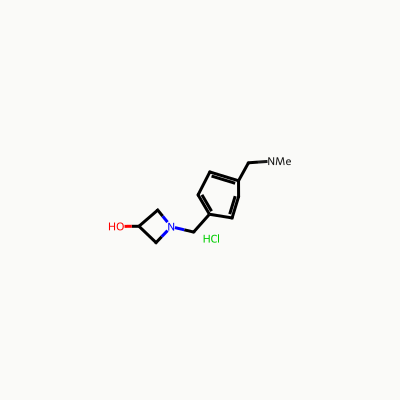 CNCc1ccc(CN2CC(O)C2)cc1.Cl